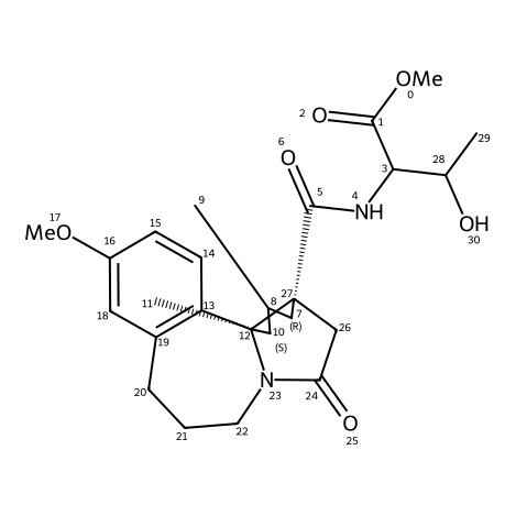 COC(=O)C(NC(=O)[C@@H]1C(C)[C@H](C)C23c4ccc(OC)cc4CCCN2C(=O)CC13)C(C)O